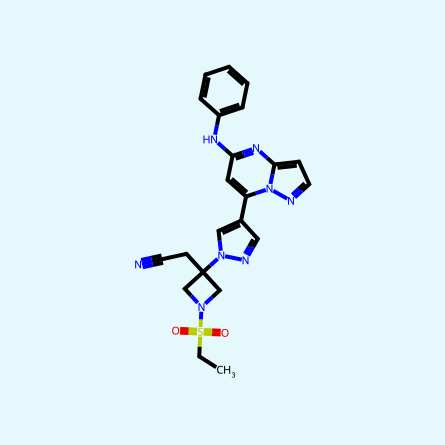 CCS(=O)(=O)N1CC(CC#N)(n2cc(-c3cc(Nc4ccccc4)nc4ccnn34)cn2)C1